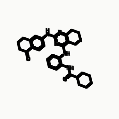 O=C1CCCc2cc(Nc3nc4c(c(Nc5ccccc5NC(=O)C5CCCCC5)n3)CSCC4)ccc21